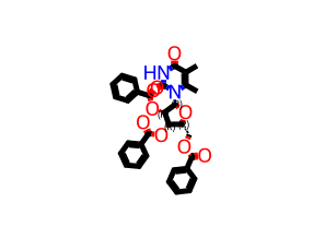 Cc1c(C)n([C@@H]2O[C@H](COC(=O)c3ccccc3)[C@@H](OC(=O)c3ccccc3)[C@H]2OC(=O)c2ccccc2)c(=O)[nH]c1=O